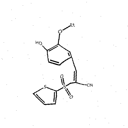 CCOc1cc(C=C(C#N)S(=O)(=O)c2cccs2)ccc1O